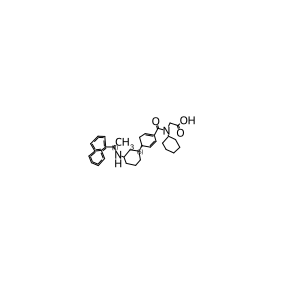 C[C@@H](NC1CCC[C@H](C2C=CC(C(=O)N(CC(=O)O)C3CCCCC3)=CC2)C1)c1cccc2ccccc12